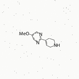 COc1cnc(C2=CCNCC2)nc1